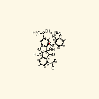 CC(C)c1ccc2c(c1)OC1(O)c3cccc([N+](=O)[O-])c3C(=O)C21NC(=O)c1cccn2nnnc12